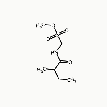 CCC(C)C(=O)NCS(=O)(=O)OC